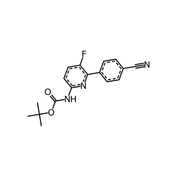 CC(C)(C)OC(=O)Nc1ccc(F)c(-c2ccc(C#N)cc2)n1